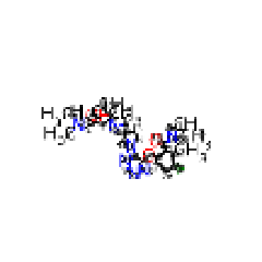 CCN(C)C[C@H](O)C[C@](C)(C(C)C)N1CC2(CCN(c3ncnnc3Oc3ccc(F)cc3C(=O)N(CC)C(C)C)C2)C1